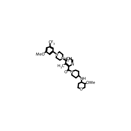 C=C(/C(C)=C(\N=C/N)C(=O)N1CCC(NC2CCOCC2OC)CC1)N1CCN(c2cc(OC)cc(C(F)(F)F)c2)CC1